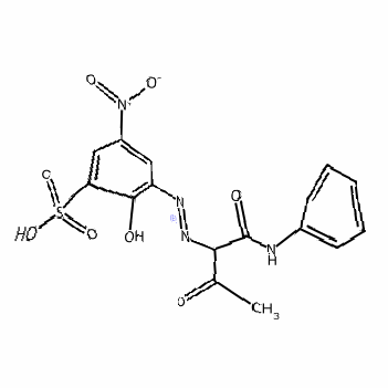 CC(=O)C(/N=N/c1cc([N+](=O)[O-])cc(S(=O)(=O)O)c1O)C(=O)Nc1ccccc1